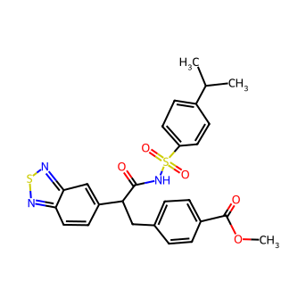 COC(=O)c1ccc(CC(C(=O)NS(=O)(=O)c2ccc(C(C)C)cc2)c2ccc3nsnc3c2)cc1